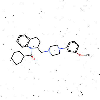 COc1cccc(N2CCN(CC3CCc4ccccc4N3C(=O)C3CCCCC3)CC2)c1